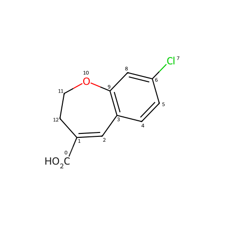 O=C(O)C1=Cc2ccc(Cl)cc2OCC1